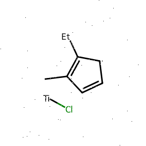 CCC1=C(C)C=C[CH]1.[Cl][Ti]